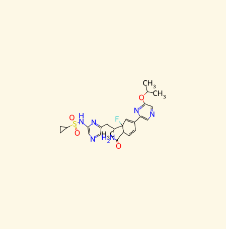 CC(C)Oc1cncc(C2=CC(F)(C(C)Cc3cncc(NS(=O)(=O)C4CC4)n3)C(C(N)=O)C=C2)n1